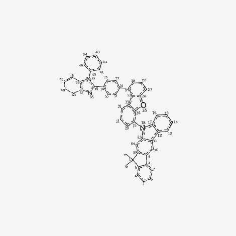 CC1(C)c2ccccc2-c2cc3c4ccccc4n(-c4cccc5c4oc4cccc(-c6ccc(-c7nc8c(n7-c7ccccc7)C=CCC8)cc6)c45)c3cc21